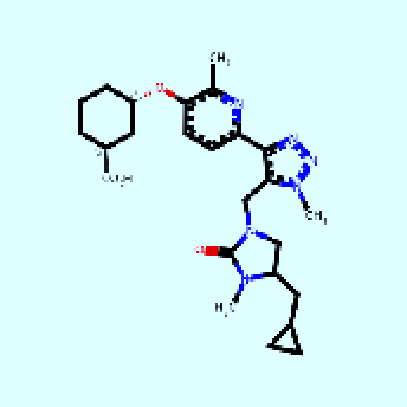 Cc1nc(-c2nnn(C)c2CN2CC(CC3CC3)N(C)C2=O)ccc1O[C@H]1CCC[C@H](C(=O)O)C1